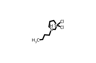 CCCC[SiH]1CCC[Si](Cl)(Cl)C1